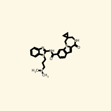 CN(C)CCCn1c(NC(=O)c2ccc3cc4n(c3c2)CC2(CC2)CNC4=O)nc2ccccc21